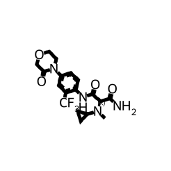 CN(C1CC1)[C@H](C(N)=O)C(=O)Nc1ccc(N2CCOCC2=O)cc1C(F)(F)F